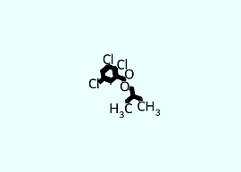 CCC(CC)COC(=O)c1[c]c(Cl)cc(Cl)c1Cl